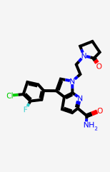 NC(=O)c1ccc2c(-c3ccc(Cl)c(F)c3)cn(CCN3CCCC3=O)c2n1